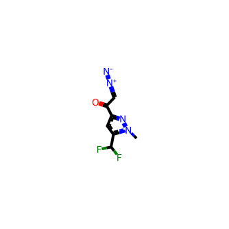 Cn1nc(C(=O)C=[N+]=[N-])cc1C(F)F